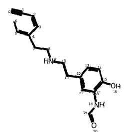 C#C/C=C\C(=C/C)CCNCCc1ccc(O)c(NC=O)c1